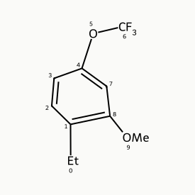 CCc1ccc(OC(F)(F)F)cc1OC